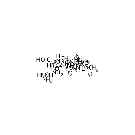 C[C@H](NC(=O)[C@H](Cc1ccccc1)NC(=O)[C@H](Cc1cnc[nH]1)NC(=O)[C@@H]1CCCN1C(=O)[C@@H](NC(=O)[C@@H](C)Cc1ccccc1)[C@@H](C)O)C(=O)N[C@@H](CCC(=O)O)C(=O)N[C@@H](CCCNC(=N)N)C(N)=O